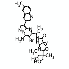 Cc1ccc2ncc(-c3cnn4c(N)c(Br)c(C(C)NC(=O)C5(CN(C)C(=O)C(C)(CO)CO)CC5)nc34)cc2c1